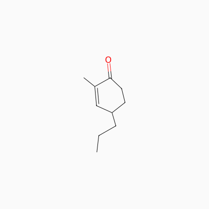 CCCC1C=C(C)C(=O)CC1